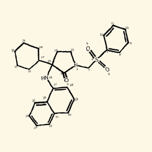 O=C1N(CS(=O)(=O)c2ccccc2)CCC1(Nc1cccc2ccccc12)C1CCCCC1